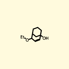 CCOC1C=CC2(O)CCCC1C2